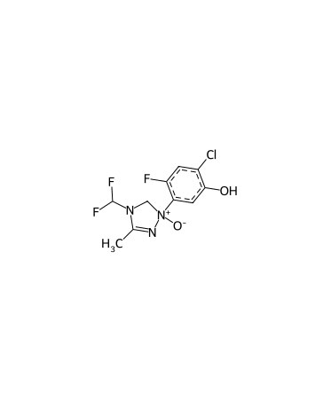 CC1=N[N+]([O-])(c2cc(O)c(Cl)cc2F)CN1C(F)F